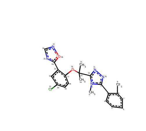 Cn1c(-c2ccccc2C(F)(F)F)nnc1C(C)(C)Oc1ccc(Cl)cc1-c1ncno1